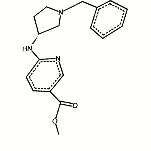 COC(=O)c1ccc(N[C@@H]2CCN(Cc3ccccc3)C2)nc1